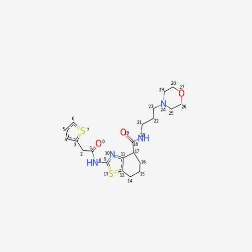 O=C(Cc1cccs1)Nc1nc2c(s1)CCCC2C(=O)NCCCN1CCOCC1